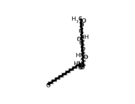 CC(=O)COCCOCCNC(=O)COCCOCCNC(=O)CCC(C=O)NC(=O)CCCCCCCCCCCCCCCCC=O